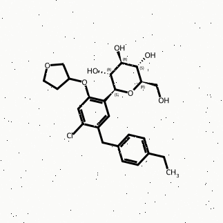 CCc1ccc(Cc2cc([C@@H]3O[C@H](CO)[C@@H](O)[C@H](O)[C@H]3O)c(OC3CCOC3)cc2Cl)cc1